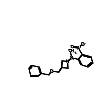 CN(c1ccccc1[N+](=O)[O-])N1CC(COCc2ccccc2)C1